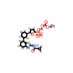 CC(C)OC(=O)OCOP(=O)(O)c1ccc(-c2cccc(-c3cccc4nc(NC(=O)C5CC5)sc34)c2)o1